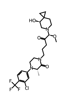 CO[C@@H](C(=O)CCCN1CCN(c2ccc(C(F)(F)F)c(Cl)c2)[C@@H](C)C1=O)N1CCC2(CC2)[C@H](O)C1